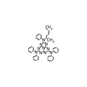 C=C/C=C\C=C(/C)N(C1=NC2=NC(N(c3ccccc3)c3ccccc3)=NC3=NC(N(c4ccccc4)c4ccccc4)=NC(=N1)N23)c1ccccc1